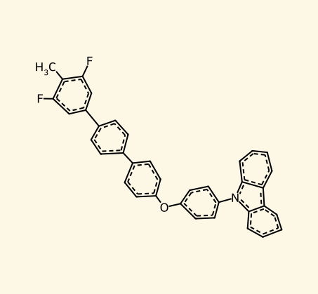 Cc1c(F)cc(-c2ccc(-c3ccc(Oc4ccc(-n5c6ccccc6c6ccccc65)cc4)cc3)cc2)cc1F